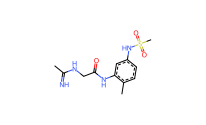 CC(=N)NCC(=O)Nc1cc(NS(C)(=O)=O)ccc1C